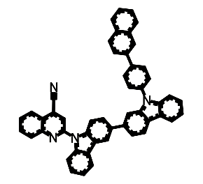 N#Cc1cc(-n2c3ccccc3c3cc(-c4ccc5c6ccccc6n(-c6ccc(-c7ccc8ccccc8c7)cc6)c5c4)ccc32)nc2ccccc12